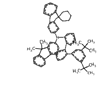 CC(C)(C)c1cc(-c2ccccc2-c2ccccc2N(c2ccc3c(c2)C(C)(C)c2ccccc2-3)c2ccc3c(c2)C2(CCCCC2)c2ccccc2-3)cc(C(C)(C)C)c1